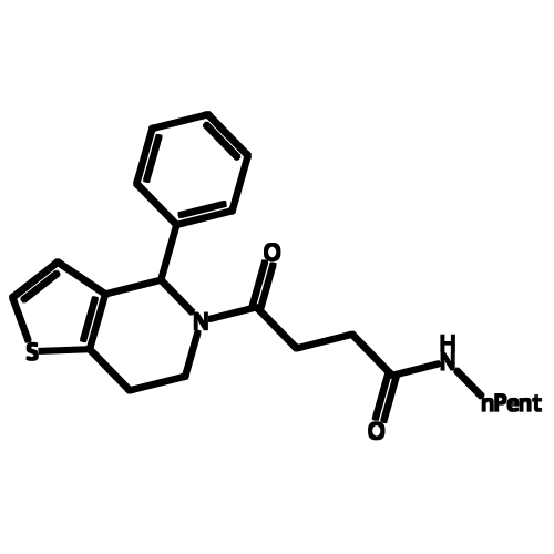 CCCCCNC(=O)CCC(=O)N1CCc2sccc2C1c1ccccc1